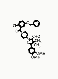 COc1ccc(C2=NN(C3CCN(C(=O)c4cc(OCc5ccccc5)ccc4Cl)CC3)C(C=O)C2(C)C)cc1OC